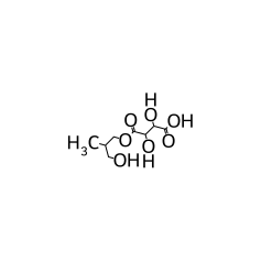 CC(CO)COC(=O)C(O)C(O)C(=O)O